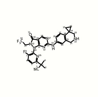 CC(C)(C#N)c1ccc(F)c(-n2c3nc(Nc4ccc5c(c4)CNCC54CC4)ncc3c(=O)n2CC(F)(F)F)n1